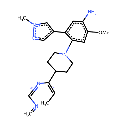 C=N/C=N\C(=C/C)C1CCN(c2cc(OC)c(N)cc2-c2cnn(C)c2)CC1